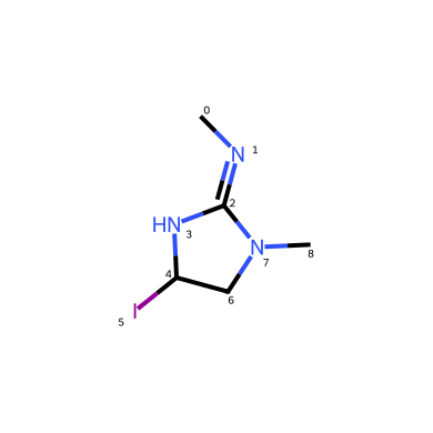 C/N=C1\NC(I)CN1C